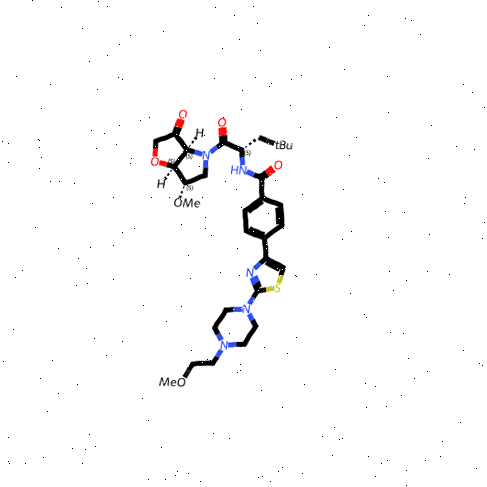 COCCN1CCN(c2nc(-c3ccc(C(=O)N[C@@H](CC(C)(C)C)C(=O)N4C[C@H](OC)[C@H]5OCC(=O)[C@H]54)cc3)cs2)CC1